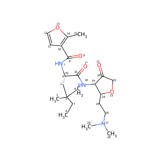 CCC(C)(C)C[C@H](NC(=O)c1ccoc1C)C(=O)NC1C(=O)COC1CCN(C)C